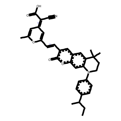 CCC(C)c1ccc(N2CCC(C)(C)c3cc4cc(/C=C/C5=CC(=C(\C#N)C(=O)O)/C=C(C)O5)c(=O)oc4cc32)cc1